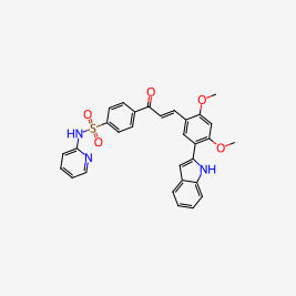 COc1cc(OC)c(-c2cc3ccccc3[nH]2)cc1C=CC(=O)c1ccc(S(=O)(=O)Nc2ccccn2)cc1